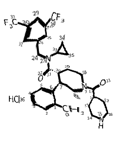 Cc1ccccc1[C@@H]1CN(C(=O)C2CCNCC2)CC[C@H]1C(=O)N(Cc1cc(C(F)(F)F)cc(C(F)(F)F)c1)C1CC1.Cl